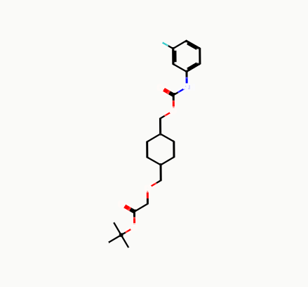 CC(C)(C)OC(=O)COCC1CCC(COC(=O)Nc2cccc(F)c2)CC1